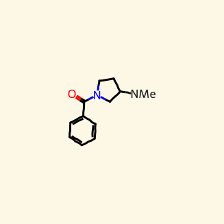 CNC1CCN(C(=O)c2ccccc2)C1